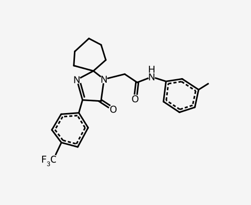 Cc1cccc(NC(=O)CN2C(=O)C(c3ccc(C(F)(F)F)cc3)=NC23CCCCC3)c1